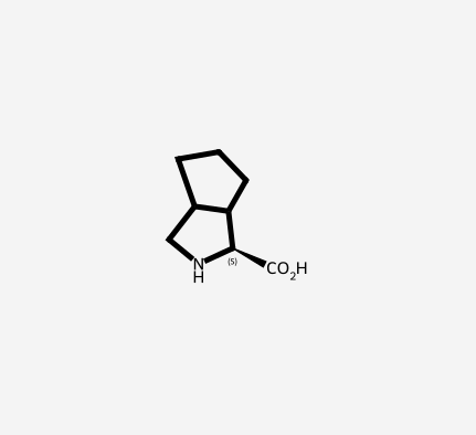 O=C(O)[C@H]1NCC2CCCC21